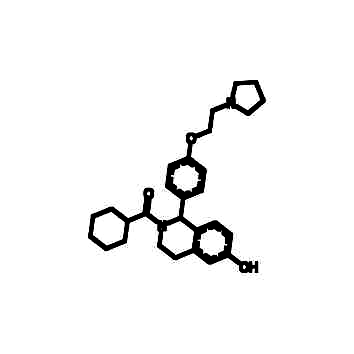 O=C(C1CCCCC1)N1CCc2cc(O)ccc2C1c1ccc(OCCN2CCCC2)cc1